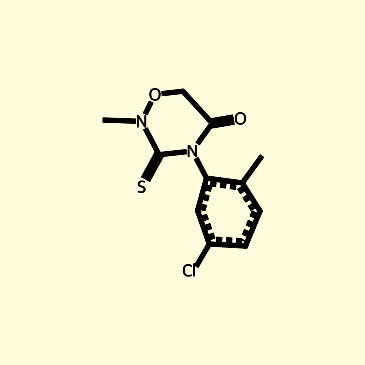 Cc1ccc(Cl)cc1N1C(=O)CON(C)C1=S